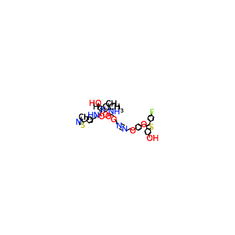 Cc1ncsc1-c1ccc(CNC(=O)[C@@H]2C[C@@H](O)CN2C(=O)C(NC(=O)COCCN2CCN(CCOc3ccc(Oc4c(-c5ccc(F)cc5)sc5cc(O)ccc45)cc3)CC2)C(C)(C)C)cc1